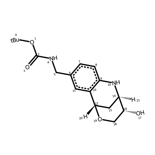 CC(C)(C)OC(=O)NCc1ccc2c(c1)[C@@H]1C[C@@H](N2)[C@H](O)CO1